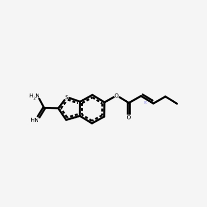 CC/C=C/C(=O)Oc1ccc2cc(C(=N)N)sc2c1